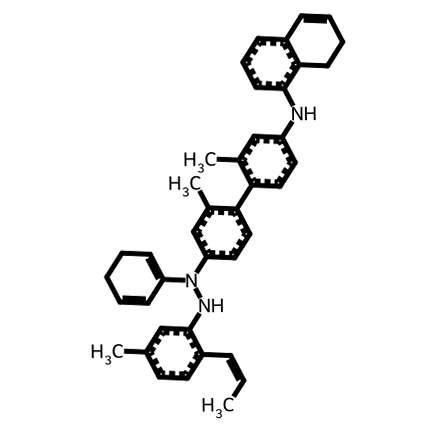 C/C=C\c1ccc(C)cc1NN(C1=CCCC=C1)c1ccc(-c2ccc(Nc3cccc4c3CCC=C4)cc2C)c(C)c1